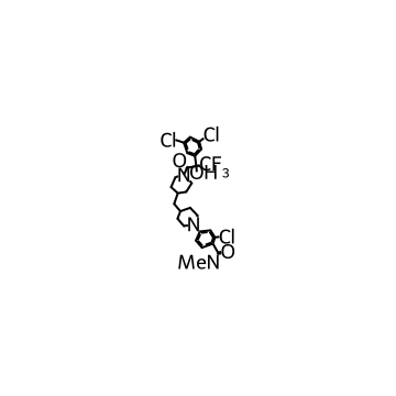 CNC(=O)c1ccc(N2CCC(CC3CCN(C(=O)C(O)(c4cc(Cl)cc(Cl)c4)C(F)(F)F)CC3)CC2)cc1Cl